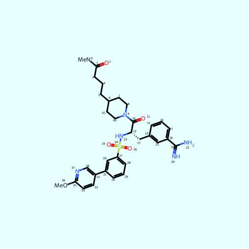 CNC(=O)CCCC1CCN(C(=O)[C@H](Cc2cccc(C(=N)N)c2)NS(=O)(=O)c2cccc(-c3ccc(OC)nc3)c2)CC1